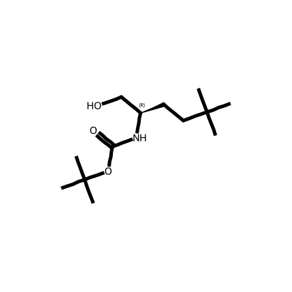 CC(C)(C)CC[C@H](CO)NC(=O)OC(C)(C)C